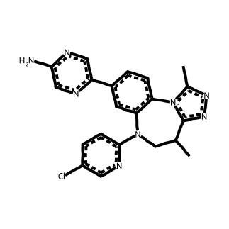 Cc1nnc2n1-c1ccc(-c3cnc(N)cn3)cc1N(c1ccc(Cl)cn1)CC2C